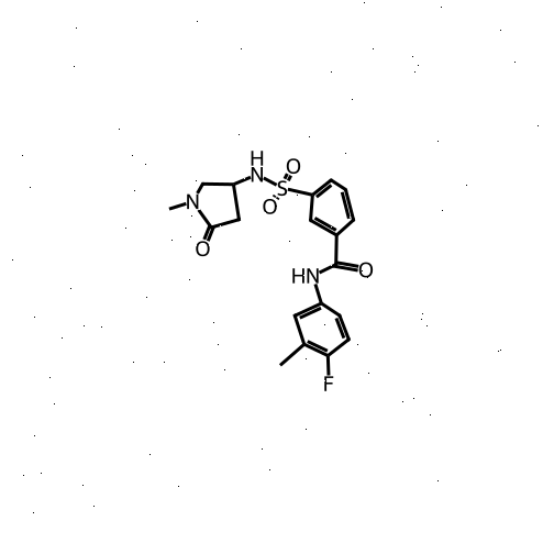 Cc1cc(NC(=O)c2cccc(S(=O)(=O)NC3CC(=O)N(C)C3)c2)ccc1F